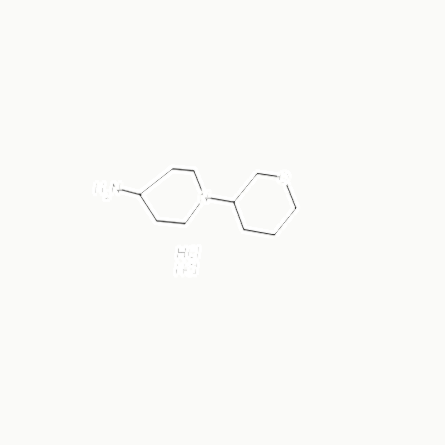 Cl.Cl.NC1CCN(C2CCCOC2)CC1